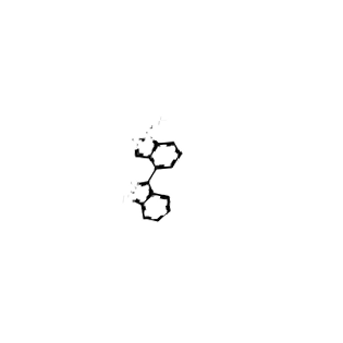 Cn1n[c]c2c(-c3n[nH]c4ccccc34)cccc21